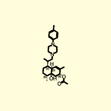 CC(=O)O[C@@H]1[CH][C@@]2(O)[C@H](C)CC[C@@H](C(C)CN3CCN(c4ccc(C)cc4)CC3)[C@H]2C=C1C